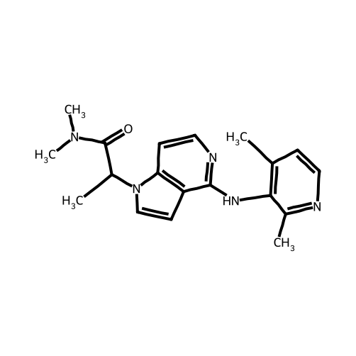 Cc1ccnc(C)c1Nc1nccc2c1ccn2C(C)C(=O)N(C)C